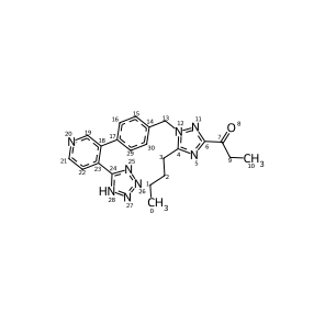 CCCCc1nc(C(=O)CC)nn1Cc1ccc(-c2cnccc2-c2nnn[nH]2)cc1